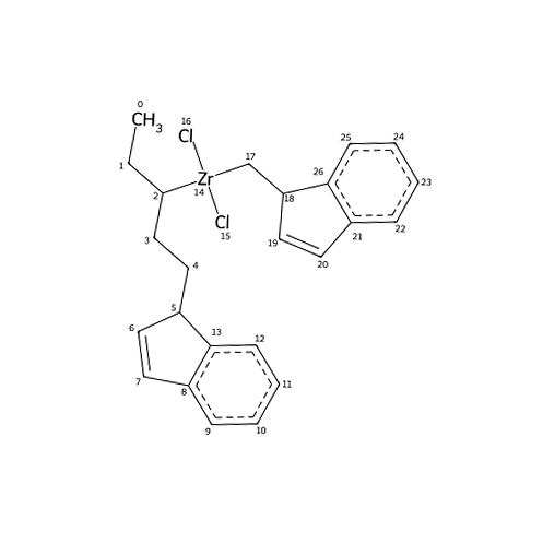 CC[CH](CCC1C=Cc2ccccc21)[Zr]([Cl])([Cl])[CH2]C1C=Cc2ccccc21